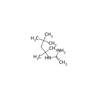 C=C(N)NC(C)(C)CC(C)(C)C